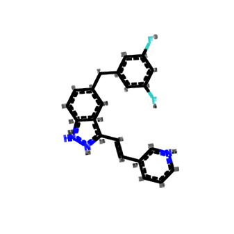 Fc1cc(F)cc(Cc2ccc3[nH]nc(C=Cc4cccnc4)c3c2)c1